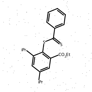 CCOC(=O)c1cc(C(C)C)cc(C(C)C)c1SC(=S)c1ccccc1